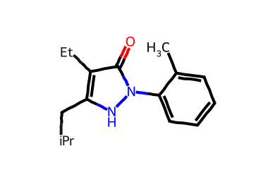 CCc1c(CC(C)C)[nH]n(-c2ccccc2C)c1=O